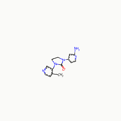 Cc1ccncc1N1CCN(c2ccnc(N)c2)C1=O